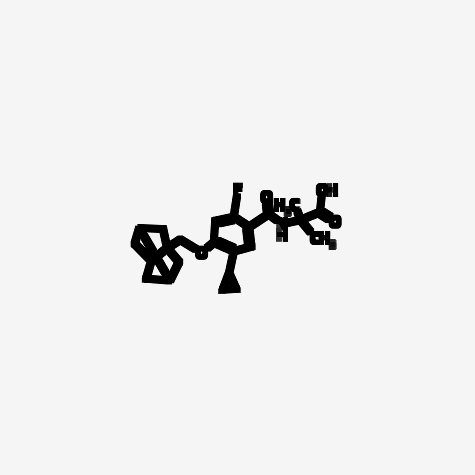 CC(C)(NC(=O)c1cc(C2CC2)c(OCC23CC4CC2CC4C3)cc1F)C(=O)O